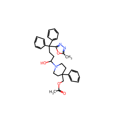 CC(=O)OCC1(c2ccccc2)CCN(C(O)CCC(c2ccccc2)(c2ccccc2)c2nnc(C)o2)CC1